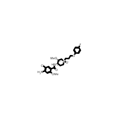 COc1cc(N)c(Cl)cc1C(=O)N[C@H]1CC[N+]([O-])(CCCOc2ccc(F)cc2)C[C@H]1OC